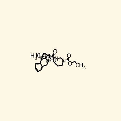 CCOC(=O)[C@H]1CCCN(C(=O)N2CC[C@@]3(C)c4ccccc4C[C@@H]2C3(C)C)C1